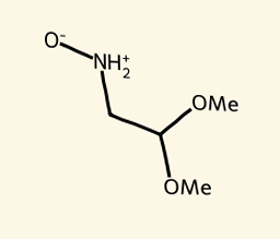 COC(C[NH2+][O-])OC